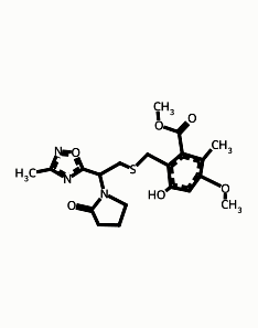 COC(=O)c1c(C)c(OC)cc(O)c1CSCC(c1nc(C)no1)N1CCCC1=O